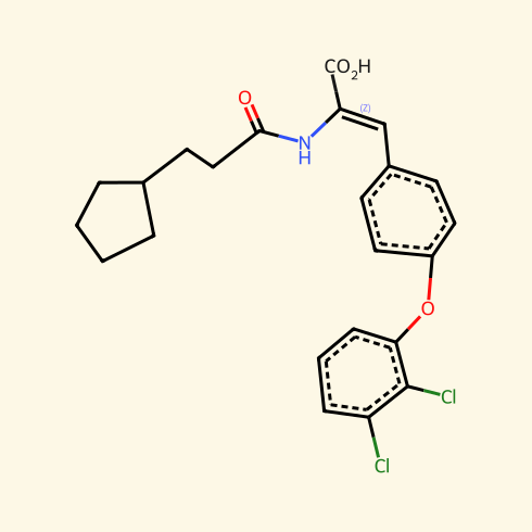 O=C(CCC1CCCC1)N/C(=C\c1ccc(Oc2cccc(Cl)c2Cl)cc1)C(=O)O